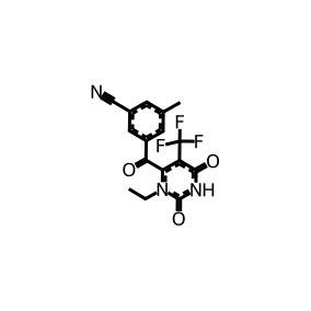 CCn1c(C(=O)c2cc(C)cc(C#N)c2)c(C(F)(F)F)c(=O)[nH]c1=O